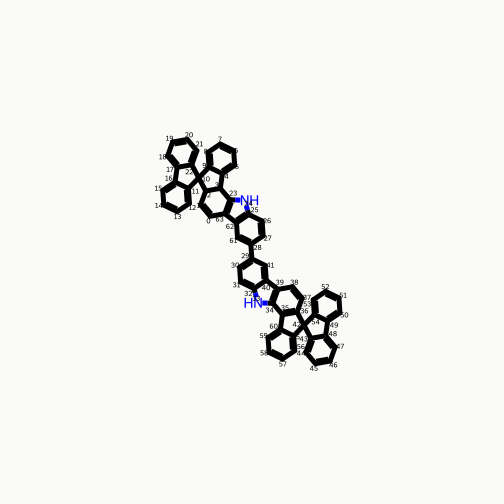 C1=CC2C(c3ccccc3C23c2ccccc2-c2ccccc23)c2[nH]c3ccc(-c4ccc5[nH]c6c7c(ccc6c5c4)C4(c5ccccc5-c5ccccc54)c4ccccc4-7)cc3c21